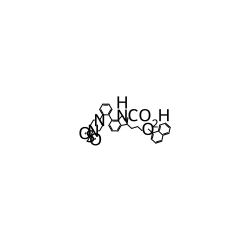 CS(=O)(=O)N1CCN(c2ccccc2-c2cccc3c(CCCOc4cccc5ccccc45)c(C(=O)O)[nH]c23)CC1